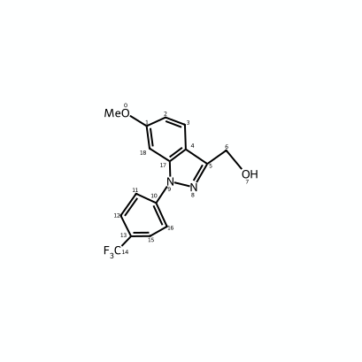 COc1ccc2c(CO)nn(-c3ccc(C(F)(F)F)cc3)c2c1